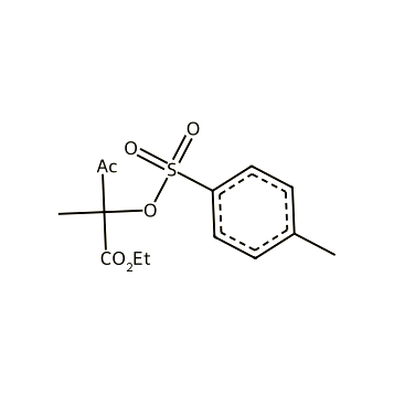 CCOC(=O)C(C)(OS(=O)(=O)c1ccc(C)cc1)C(C)=O